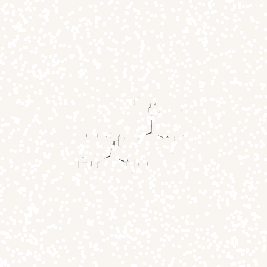 CC[C@H](C)[C@H](N=O)C(=O)[O-].CC[C@H](C)[C@H](N=O)C(=O)[O-].[Ca+2]